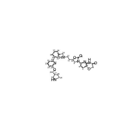 O=C1COc2ccc(N3CC(CCNCc4cccc(-c5cccc(OCC6CCNC6)n5)c4)OC3=O)nc2N1